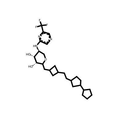 O[C@@H]1[C@@H](Nc2cncc(C(F)(F)F)n2)COC(CC2CC(CCC3CCC(C4CCCC4)C3)C2)[C@@H]1O